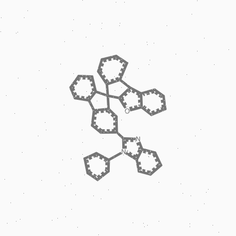 c1ccc(-n2c(-c3ccc4c(c3)C3(c5ccccc5-4)c4ccccc4-c4c3oc3ccccc43)nc3ccccc32)cc1